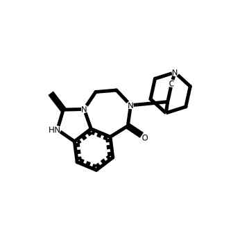 C=C1Nc2cccc3c2N1CCN(C1CN2CCC1CC2)C3=O